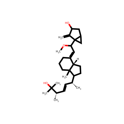 C=C1C(O)CC2CC12C(/C=C1\CCCC2(C)C([C@H](C)/C=C/[C@H](C)C(C)(C)O)CC[C@@H]12)OC